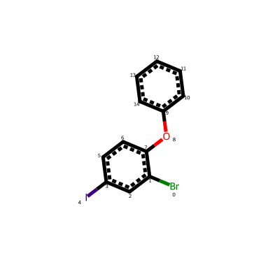 Brc1cc(I)ccc1Oc1ccccc1